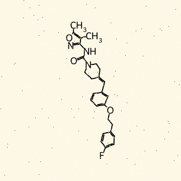 Cc1onc(NC(=O)N2CCC(=Cc3cccc(OCCc4ccc(F)cc4)c3)CC2)c1C